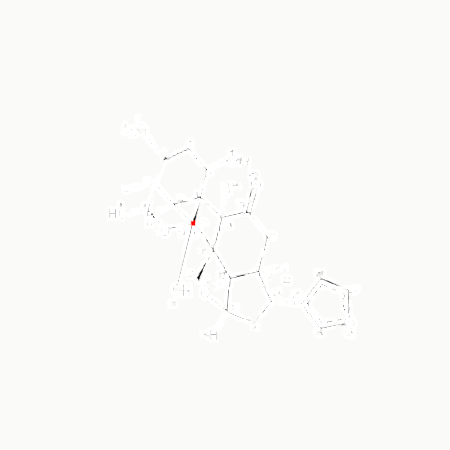 CC(=O)O[C@@H]1C[C@H](O)[C@@]23CO[C@H](O)[C@]1(C)[C@@H]2CC(O)[C@]1(C)[C@@H]3C(=O)C[C@@]2(C)[C@H](c3ccoc3)C[C@H]3O[C@@]321